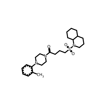 Cc1ccccc1N1CCN(C(=O)CCCS(=O)(=O)N2CCCC3CCCCC32)CC1